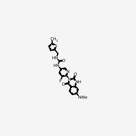 CNc1ccc2c(=O)n(-c3ncc(NC(=O)NCc4ccc(C)s4)cc3F)c(=O)[nH]c2c1